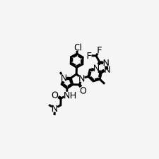 Cc1cc(N2C(=O)c3c(NC(=O)CN(C)C)cn(C)c3C2c2ccc(Cl)cc2)cn2c(C(F)F)nnc12